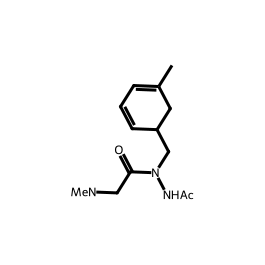 CNCC(=O)N(CC1C=CC=C(C)C1)NC(C)=O